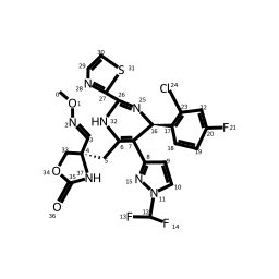 CO/N=C/[C@]1(CC2=C(c3ccn(C(F)F)n3)[C@H](c3ccc(F)cc3Cl)N=C(c3nccs3)N2)COC(=O)N1